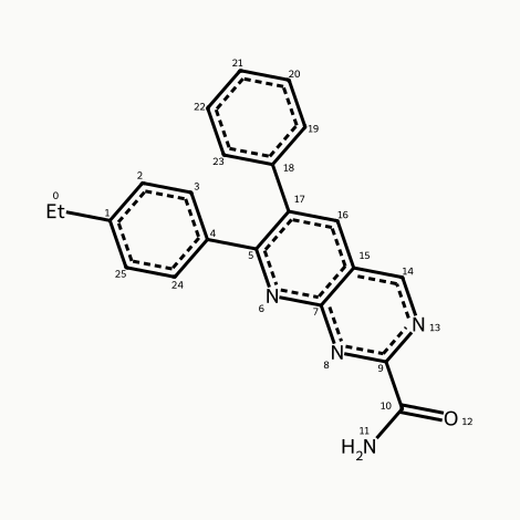 CCc1ccc(-c2nc3nc(C(N)=O)ncc3cc2-c2ccccc2)cc1